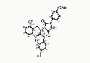 COc1ccc([C@H]2NC(=O)N(C(Cc3ccccc3C(F)(F)F)C(=O)Nc3ccc(I)cc3F)C2=O)cc1